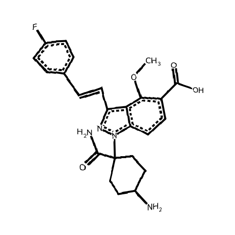 COc1c(C(=O)O)ccc2c1c(C=Cc1ccc(F)cc1)nn2C1(C(N)=O)CCC(N)CC1